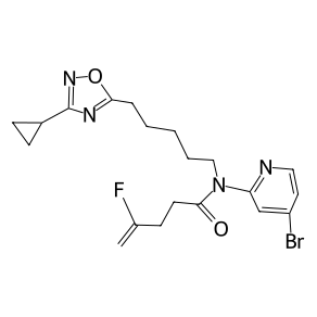 C=C(F)CCC(=O)N(CCCCCc1nc(C2CC2)no1)c1cc(Br)ccn1